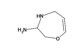 NC1COC=CCN1